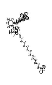 CCCCCCCCCCCCCCCCCC(=O)[O-].O=C([O-])c1ccccc1.O=P([O-])([O-])[O-].[Li+].[Li+].[Li+].[Li+].[Li+]